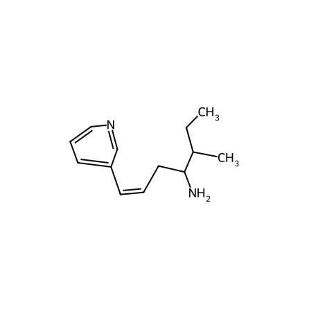 CCC(C)C(N)C/C=C\c1cccnc1